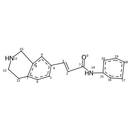 O=C(/C=C/c1ccc2c(c1)CNCC2)Nc1ccccc1